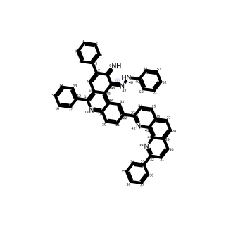 N=C1C(c2ccccc2)=Cc2c(-c3ccccc3)nc3ccc(-c4ccc5ccc6ccc(-c7ccccc7)nc6c5n4)cc3c2/C1=N/Nc1ccccc1